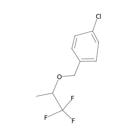 CC(OCc1ccc(Cl)cc1)C(F)(F)F